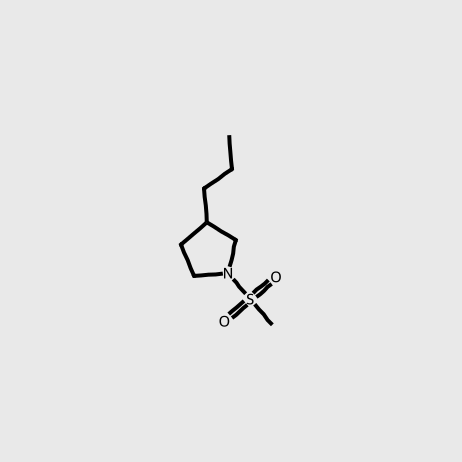 CCCC1CCN(S(C)(=O)=O)C1